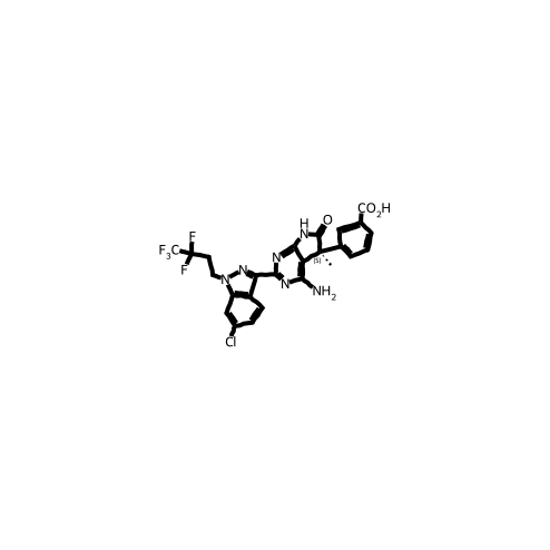 C[C@@]1(c2cccc(C(=O)O)c2)C(=O)Nc2nc(-c3nn(CCC(F)(F)C(F)(F)F)c4cc(Cl)ccc34)nc(N)c21